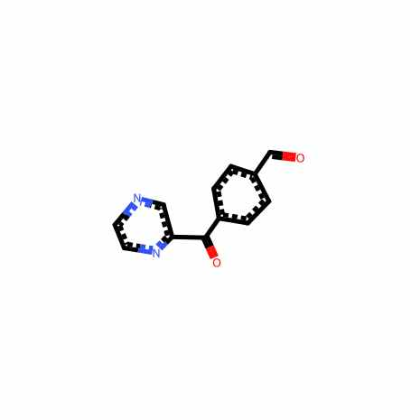 O=Cc1ccc(C(=O)c2cnccn2)cc1